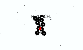 C=C/C=C\C=C(/C)C1(c2ccccc2)c2ccccc2-c2ccc(N(c3ccc(-c4ccccc4)cc3)c3ccccc3-c3ccc4sc5ccccc5c4c3)cc21